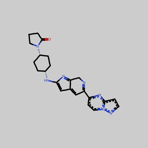 O=C1CCCN1[C@H]1CC[C@@H](NC2=CC3=CC(c4ccn5nccc5n4)=NCC3=N2)CC1